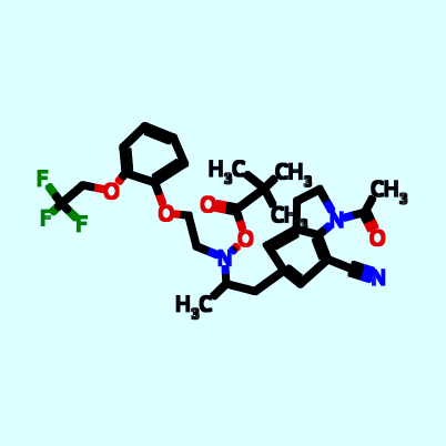 CC(=O)N1CCc2cc(CC(C)N(CCOc3ccccc3OCC(F)(F)F)OC(=O)C(C)(C)C)cc(C#N)c21